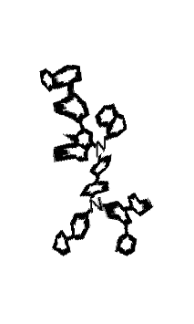 c1ccc(-c2ccc(N(c3ccc(-c4ccc(N(c5cccc6ccccc56)c5cc(-c6ccc(-c7cccc8ccccc78)cc6)cc6ccccc56)cc4)cc3)c3cc(-c4ccccc4)cc(-c4ccccc4)c3)cc2)cc1